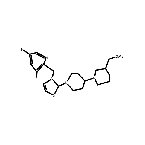 COCC1CCCN(C2CCN(C3SC=CN3Cc3ncc(F)cc3F)CC2)C1